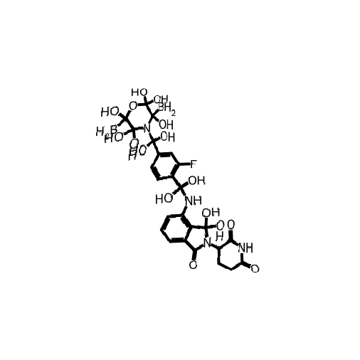 BC1(O)OC(O)(O)C(B)(O)N(C(O)(O)c2ccc(C(O)(O)Nc3cccc4c3C(O)(O)N(C3CCC(=O)NC3=O)C4=O)c(F)c2)C1(O)O